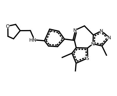 Cc1sc2c(c1C)C(c1ccc(NCC3CCOC3)cc1)=NCc1nnc(C)n1-2